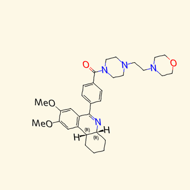 COc1cc2c(cc1OC)[C@H]1CCCC[C@H]1N=C2c1ccc(C(=O)N2CCN(CCN3CCOCC3)CC2)cc1